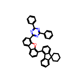 c1ccc(-c2nc(-c3ccccc3)nc(-c3cccc4c3oc3c(-c5cccc6c5-c5ccccc5C65CCCCC5)cccc34)n2)cc1